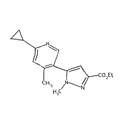 CCOC(=O)c1cc(-c2cnc(C3CC3)cc2C)n(C)n1